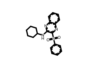 O=S(=O)(c1ccccc1)c1nc2ccccc2nc1NC1CCCCC1